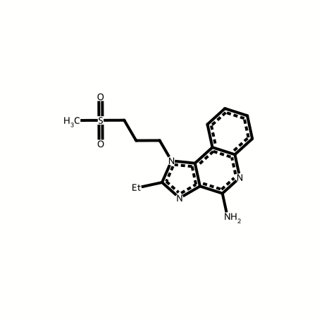 CCc1nc2c(N)nc3ccccc3c2n1CCCS(C)(=O)=O